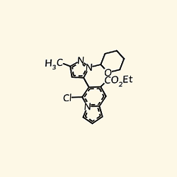 CCOC(=O)c1cc2cccn2c(Cl)c1-c1cc(C)nn1C1CCCCO1